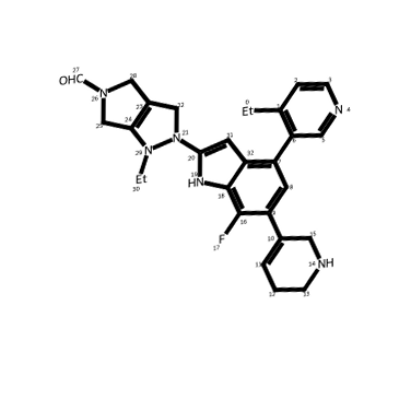 CCc1ccncc1-c1cc(C2=CCCNC2)c(F)c2[nH]c(N3CC4=C(CN(C=O)C4)N3CC)cc12